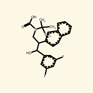 CC(C)(C)N(CC(c1ccc2ccccc2c1)C(O)c1cc(F)cc(F)c1)C(=O)O